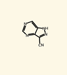 N#Cc1n[nH]c2cncnc12